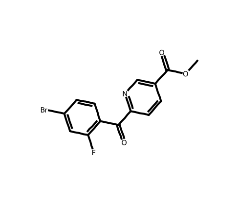 COC(=O)c1ccc(C(=O)c2ccc(Br)cc2F)nc1